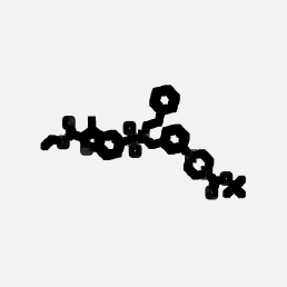 CCOC(=O)c1oc2ccc(S(=O)(=O)N(CCc3ccccc3)Cc3cccc(N4CCN(C(=O)OC(C)(C)C)CC4)c3)cc2c1C